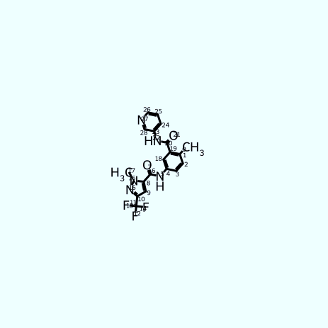 Cc1ccc(NC(=O)c2cc(C(F)(F)F)nn2C)cc1C(=O)Nc1cccnc1